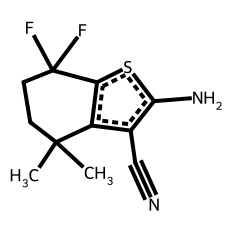 CC1(C)CCC(F)(F)c2sc(N)c(C#N)c21